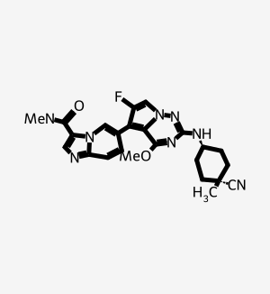 CNC(=O)c1cnc2ccc(-c3c(F)cn4nc(N[C@H]5CC[C@@](C)(C#N)CC5)nc(OC)c34)cn12